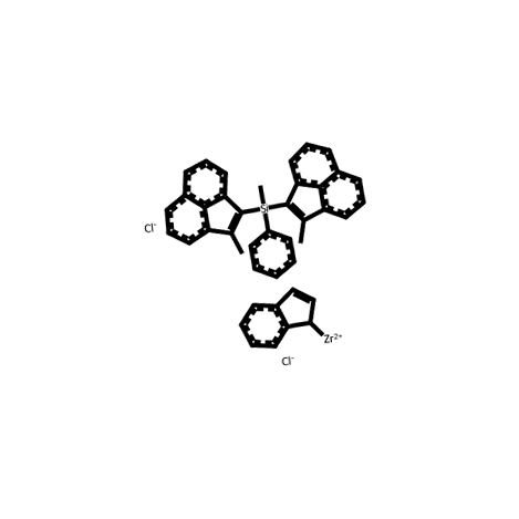 CC1=C([Si](C)(C2=C(C)c3cccc4cccc2c34)c2ccccc2)c2cccc3cccc1c23.[Cl-].[Cl-].[Zr+2][CH]1C=Cc2ccccc21